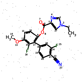 CCn1cnc(C(=O)Oc2ccc(OC)c(F)c2-c2ccc(C#N)c(F)c2)c1